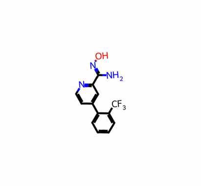 NC(=NO)c1cc(-c2ccccc2C(F)(F)F)ccn1